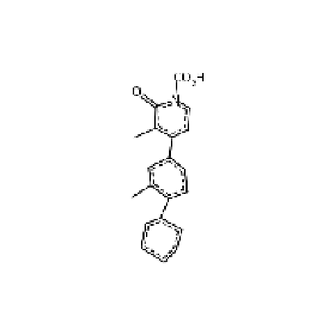 Cc1cc(-c2ccn(C(=O)O)c(=O)c2C)ccc1-c1ccccc1